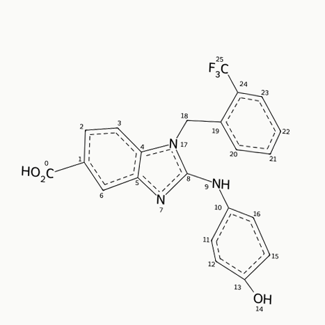 O=C(O)c1ccc2c(c1)nc(Nc1ccc(O)cc1)n2Cc1ccccc1C(F)(F)F